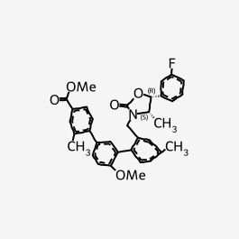 COC(=O)c1ccc(-c2ccc(OC)c(-c3ccc(C)cc3CN3C(=O)O[C@H](c4cccc(F)c4)[C@@H]3C)c2)c(C)c1